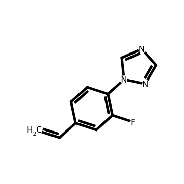 C=Cc1ccc(-n2cncn2)c(F)c1